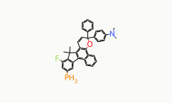 CN(C)c1ccc(C2(c3ccccc3)C=Cc3c4c(c5ccccc5c3O2)-c2cc(P)cc(F)c2C4(C)C)cc1